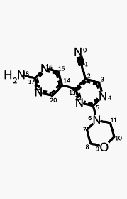 N#Cc1cnc(N2CCOCC2)nc1-c1cnc(N)nc1